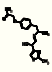 Cc1nc(C(O)C=NC(C)Cc2ccc(OCC(N)=O)cc2)cs1